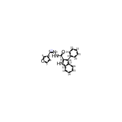 O=C(N/N=C\c1ccoc1)c1[nH]c2ccccc2c1-c1ccccc1